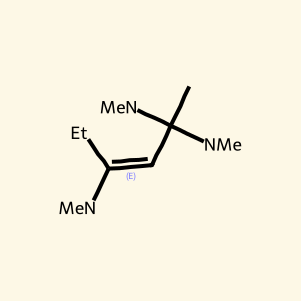 CC/C(=C\C(C)(NC)NC)NC